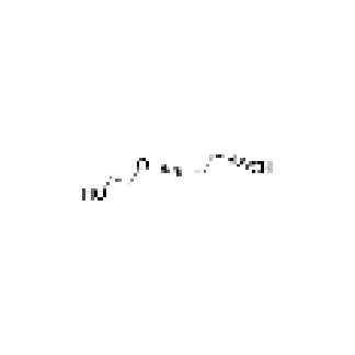 C#CCCC#COCCO